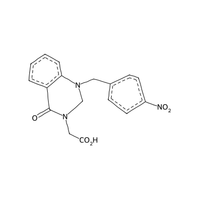 O=C(O)CN1CN(Cc2ccc([N+](=O)[O-])cc2)c2ccccc2C1=O